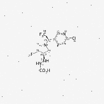 O=C(O)NN[C@@H]1CN([C@H](c2ccc(Cl)nc2)C(F)(F)F)CC1F